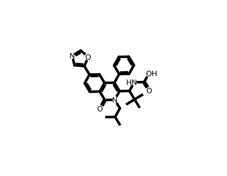 CC(C)Cn1c(C(NC(=O)O)C(C)(C)C)c(-c2ccccc2)c2cc(-c3cnco3)ccc2c1=O